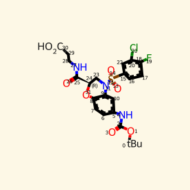 CC(C)(C)OC(=O)Nc1ccc2c(c1)N(S(=O)(=O)c1ccc(F)c(Cl)c1)C[C@H](C(=O)NCCC(=O)O)O2